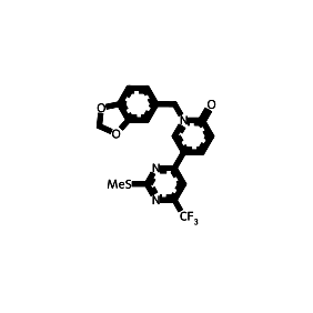 CSc1nc(-c2ccc(=O)n(Cc3ccc4c(c3)OCO4)c2)cc(C(F)(F)F)n1